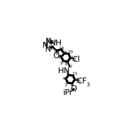 CC(C)Oc1ccc(NCc2cc3oc(-c4nnn[nH]4)cc3cc2Cl)cc1C(F)(F)F